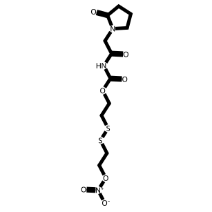 O=C(CN1CCCC1=O)NC(=O)OCCSSCCO[N+](=O)[O-]